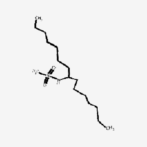 CCCCCCCC(CCCCCCC)NS(C)(=O)=O